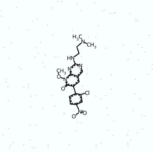 COn1c(=O)c(-c2ccc([N+](=O)[O-])cc2Cl)cc2cnc(NCCN(C)C)nc21